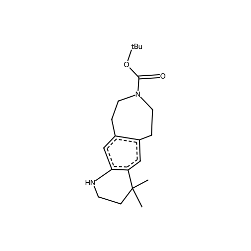 CC(C)(C)OC(=O)N1CCc2cc3c(cc2CC1)C(C)(C)CCN3